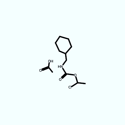 CC(=O)O.CC(Cl)OC(=O)NCC1CCCCC1